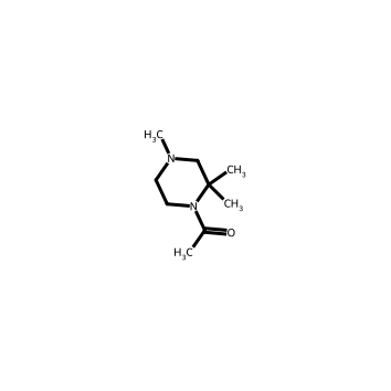 CC(=O)N1CCN(C)CC1(C)C